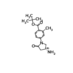 Cc1cc(N2C[C@H](N)CC2=O)ccc1C(=O)OC(C)(C)C